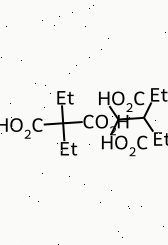 CCC(CC)(C(=O)O)C(=O)O.CCC(CC)C(C(=O)O)C(=O)O